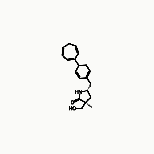 C[C@@]1(CO)C[C@@H](CC2=CCC(C3=CC=CCC=C3)C=C2)NC1=O